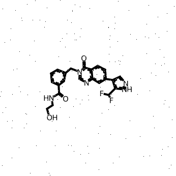 O=C(NCCO)c1cccc(Cn2cnc3cc(-c4cn[nH]c4C(F)F)ccc3c2=O)c1